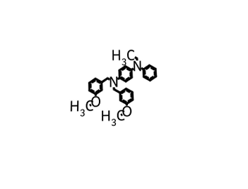 CCN(c1ccccc1)c1ccc(N(Cc2cccc(OC)c2)Cc2cccc(OC)c2)cc1